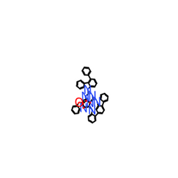 c1ccc(-c2cccc3c2c2ccccc2n3-c2nc(-c3nc4ccccc4o3)nc(-n3c4ccccc4c4ccc5c6ccccc6n(-c6ccccc6)c5c43)n2)cc1